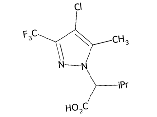 Cc1c(Cl)c(C(F)(F)F)nn1C(C(=O)O)C(C)C